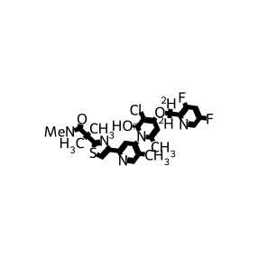 [2H]C([2H])(OC1=C(Cl)[C@H](O)N(c2cc(-c3csc(C(C)(C)C(=O)NC)n3)ncc2C)C(C)=C1)c1ncc(F)cc1F